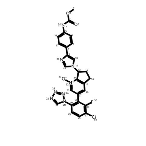 COC(=O)Nc1ccc(-c2cn(C3CCc4cc(-c5c(-n6cnnn6)ccc(Cl)c5F)c[n+]([O-])c43)cn2)cc1